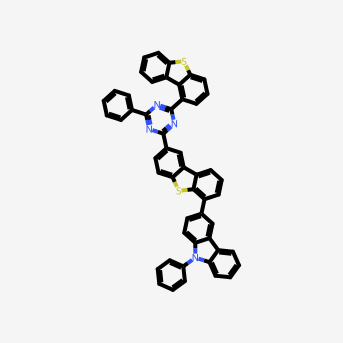 c1ccc(-c2nc(-c3ccc4sc5c(-c6ccc7c(c6)c6ccccc6n7-c6ccccc6)cccc5c4c3)nc(-c3cccc4sc5ccccc5c34)n2)cc1